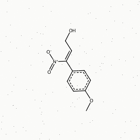 COc1ccc(C(=CCO)[N+](=O)[O-])cc1